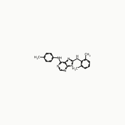 Cc1ccc(Nc2ncnc3sc(Nc4c(C)cccc4C)nc23)cc1